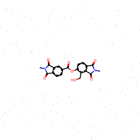 CN1C(=O)c2ccc(C(=O)Oc3ccc4c(c3CO)C(=O)N(C)C4=O)cc2C1=O